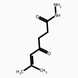 CC(C)=CC(=O)CCC(=O)NN